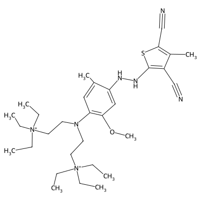 CC[N+](CC)(CC)CCN(CC[N+](CC)(CC)CC)c1cc(C)c(NNc2sc(C#N)c(C)c2C#N)cc1OC